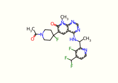 CC(=O)N1CCC(F)(c2cc3c(NC(C)c4nccc(C(F)F)c4F)ncnc3n(C)c2=O)CC1